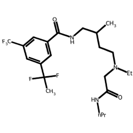 CCCNC(=O)CN(CC)CCC(C)CNC(=O)c1cc(C(C)(F)F)cc(C(F)(F)F)c1